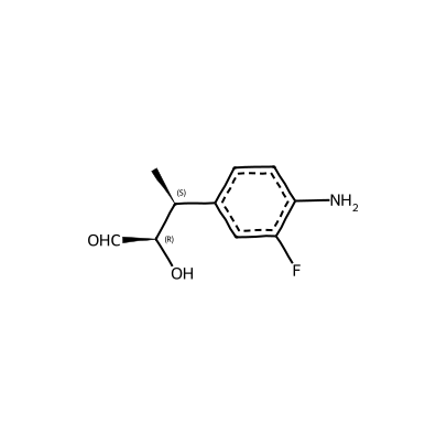 C[C@@H](c1ccc(N)c(F)c1)[C@@H](O)C=O